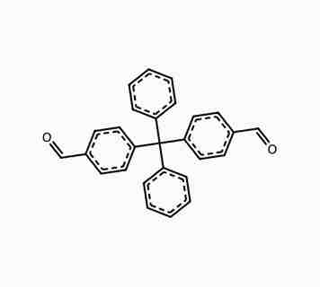 O=Cc1ccc(C(c2ccccc2)(c2ccccc2)c2ccc(C=O)cc2)cc1